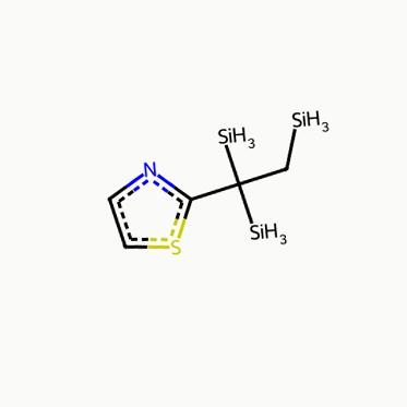 [SiH3]CC([SiH3])([SiH3])c1nccs1